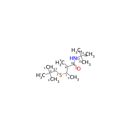 CC(SCC(C)(C)C)C(C)C(=O)NC(C)(C)C